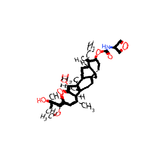 CO[C@@H](C1C[C@@H](C)[C@H]2C(O1)[C@H](O)[C@@]1(C)C3CC[C@H]4C(C)(C)C(OC(=O)NC5COC5)CC[C@@]45C[C@@]35CC[C@]21C)C(C)(C)O